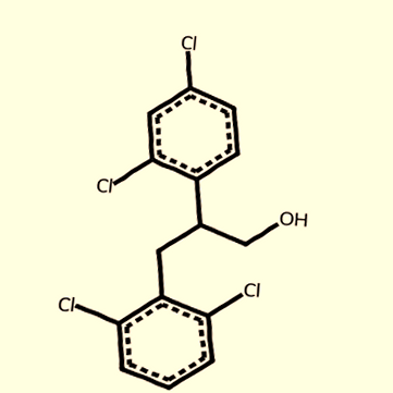 OCC(Cc1c(Cl)cccc1Cl)c1ccc(Cl)cc1Cl